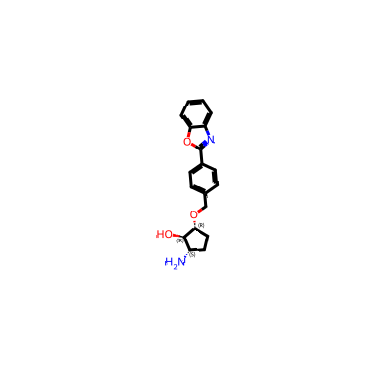 N[C@H]1CC[C@@H](OCc2ccc(-c3nc4ccccc4o3)cc2)[C@@H]1O